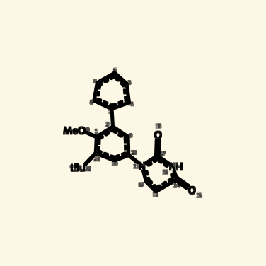 COc1c(-c2ccccc2)cc(-n2ccc(=O)[nH]c2=O)cc1C(C)(C)C